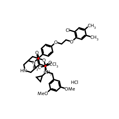 COc1cc(CN(C(=O)C2=C(c3ccc(OCCOc4cc(C)c(C)cc4Cl)cc3)CC3CNCC2N3C(=O)OC(C)(C)C(Cl)(Cl)Cl)C2CC2)cc(OC)c1.Cl